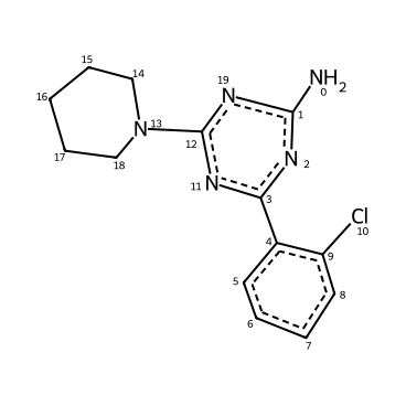 Nc1nc(-c2ccccc2Cl)nc(N2CCCCC2)n1